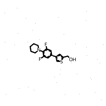 OCc1cc(-c2cc(F)c(N3CCCCC3)c(F)c2)cs1